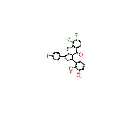 COc1cccc(C2CC(c3ccc(F)cc3)=CC2C(=O)c2ccc(F)c(F)c2F)c1OC